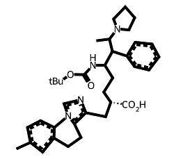 Cc1ccc2c(c1)CCc1c(C[C@H](CCC(NC(=O)OC(C)(C)C)C(c3ccccc3)C(C)N3CCCC3)C(=O)O)ncn1-2